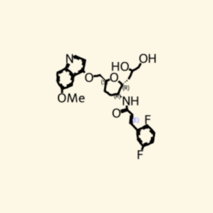 COc1ccc2nccc(OC[C@@H]3CC[C@@H](NC(=O)/C=C/c4cc(F)ccc4F)[C@@H](CC(O)CO)O3)c2c1